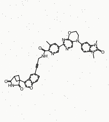 Cc1cc(-c2ncc3c(n2)OCCN3c2ccc3c(c2)n(C)c(=O)n3C)cnc1C(=O)NCC#Cc1ccc2occ(C34CC(C3)C(=O)NC4=O)c2c1